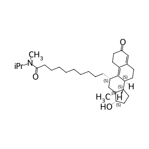 CC(C)N(C)C(=O)CCCCCCCCC[C@H]1C[C@]2(C)[C@@H](O)CC[C@H]2[C@@H]2CCC3=CC(=O)CCC3=C12